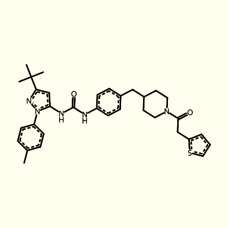 Cc1ccc(-n2nc(C(C)(C)C)cc2NC(=O)Nc2ccc(CC3CCN(C(=O)Cc4cccs4)CC3)cc2)cc1